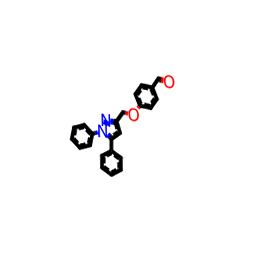 O=Cc1ccc(OCc2cc(-c3ccccc3)n(-c3ccccc3)n2)cc1